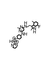 Cc1nc(NCCc2c(C)[nH]c3c(F)ccc(C)c23)cc(Nc2ccc(S(=O)(=O)Nc3ncccn3)cc2)n1